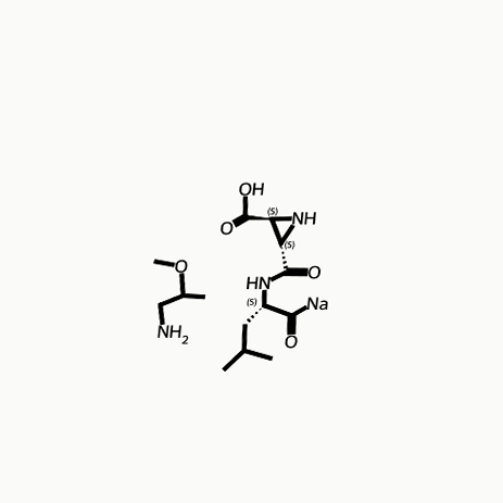 CC(C)C[C@H](NC(=O)[C@H]1N[C@@H]1C(=O)O)[C](=O)[Na].COC(C)CN